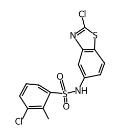 Cc1c(Cl)cccc1S(=O)(=O)Nc1ccc2sc(Cl)nc2c1